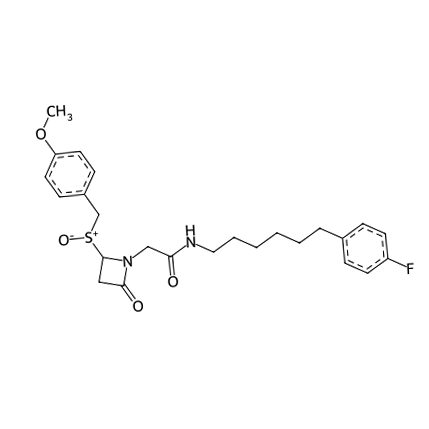 COc1ccc(C[S+]([O-])C2CC(=O)N2CC(=O)NCCCCCCc2ccc(F)cc2)cc1